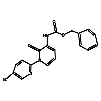 CCc1ccc(-n2cccc(NC(=O)OCc3ccccc3)c2=O)nc1